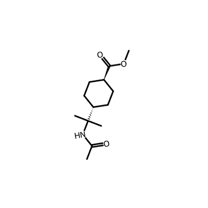 COC(=O)[C@H]1CC[C@H](C(C)(C)NC(C)=O)CC1